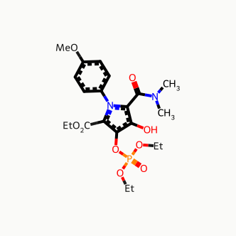 CCOC(=O)c1c(OP(=O)(OCC)OCC)c(O)c(C(=O)N(C)C)n1-c1ccc(OC)cc1